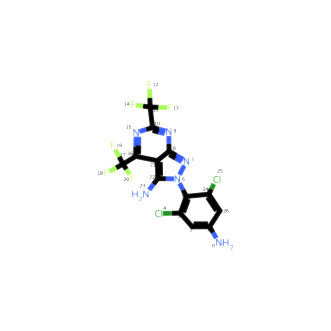 Nc1cc(Cl)c(-n2nc3nc(C(F)(F)F)nc(C(F)(F)F)c3c2N)c(Cl)c1